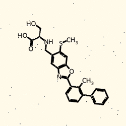 CSc1cc2oc(-c3cccc(-c4ccccc4)c3C)nc2cc1CN[C@H](CO)C(=O)O